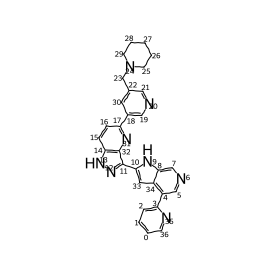 c1ccc(-c2cncc3[nH]c(-c4n[nH]c5ccc(-c6cncc(CN7CCCCC7)c6)nc45)cc23)nc1